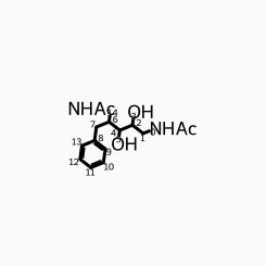 CC(=O)NCC(O)C(O)C(Cc1ccccc1)NC(C)=O